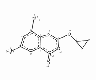 Nc1cc(N)c2nc(OC3CC3)oc(=O)c2c1